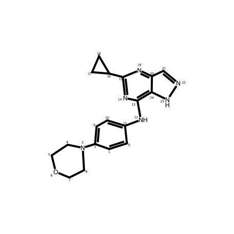 c1cc(N2CCOCC2)ccc1Nc1nc(C2CC2)nc2cn[nH]c12